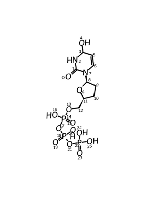 O=C1NC(O)C=CN1[C@H]1CC[C@@H](COP(=O)(O)OP(=O)(O)OP(=O)(O)O)O1